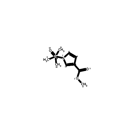 COC(=O)c1ccn(S(C)(C)(C)=O)c1